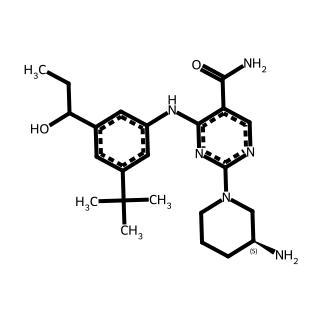 CCC(O)c1cc(Nc2nc(N3CCC[C@H](N)C3)ncc2C(N)=O)cc(C(C)(C)C)c1